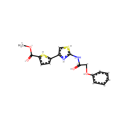 COC(=O)c1ccc(-c2csc(NC(=O)COc3ccccc3)n2)s1